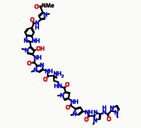 CNC(=O)c1cc(NC(=O)c2ccc3nc(-c4c(O)c(NC(=O)c5nc(NC(=O)[C@H](N)CCNC(=O)c6cc(NC(=O)c7cc(NC(=O)c8nc(NC(=O)c9nccn9C)cn8C)cn7C)cn6C)cn5C)cn4C)[nH]c3c2)cn1C